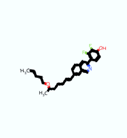 CCCCCOC(C)CCCC=Cc1ccc2cc(-c3ccc(O)c(F)c3F)ncc2c1